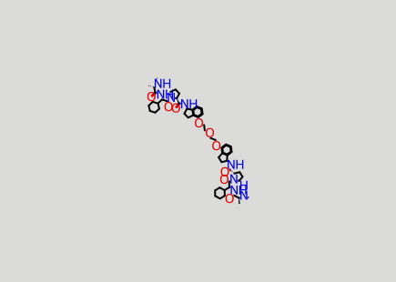 CN[C@@H](C)C(=O)N[C@H](C(=O)N1CCC[C@H]1C(=O)N[C@@H]1CCc2c(OCCOCCOc3cccc4c3CC[C@H]4NC(=O)[C@@H]3CCCN3C(=O)[C@@H](NC(=O)[C@H](C)NC)C3CCCCC3)cccc21)C1CCCCC1